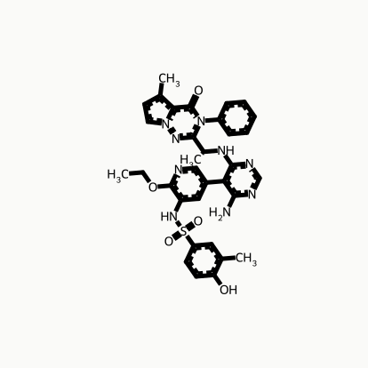 CCOc1ncc(-c2c(N)ncnc2N[C@@H](C)c2nn3ccc(C)c3c(=O)n2-c2ccccc2)cc1NS(=O)(=O)c1ccc(O)c(C)c1